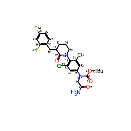 CC(C)(C)OC(=O)N(CC(N)=O)c1cc(Cl)c(N2CCCC(Cc3ccc(F)cc3F)C2=O)c(Cl)c1